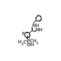 C[PH](C)(O)c1cncc(/C(C=N)=C/NCc2ccccc2)c1